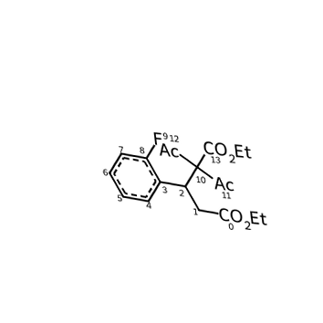 CCOC(=O)CC(c1ccccc1F)C(C(C)=O)(C(C)=O)C(=O)OCC